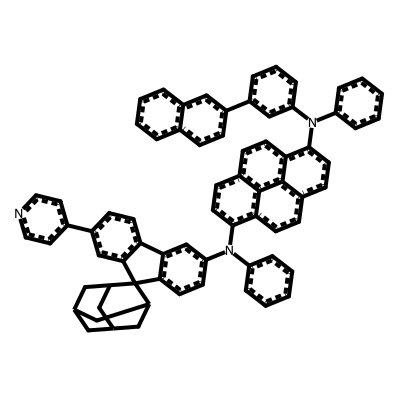 c1ccc(N(c2cccc(-c3ccc4ccccc4c3)c2)c2ccc3ccc4c(N(c5ccccc5)c5ccc6c(c5)-c5ccc(-c7ccncc7)cc5C65C6CC7CC(C6)CC5C7)ccc5ccc2c3c54)cc1